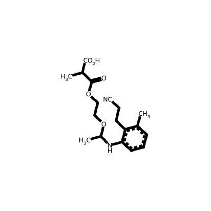 Cc1cccc(NC(C)OCCOC(=O)C(C)C(=O)O)c1CCC#N